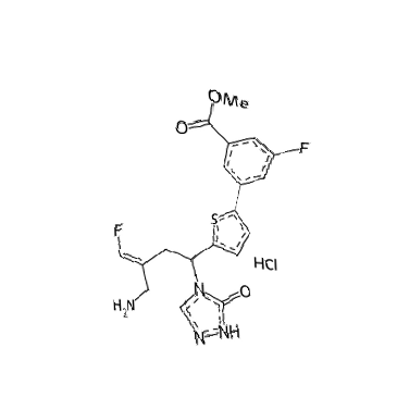 COC(=O)c1cc(F)cc(-c2ccc(C(C/C(=C\F)CN)n3cn[nH]c3=O)s2)c1.Cl